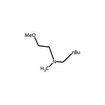 CCCCCN(C)CCOC